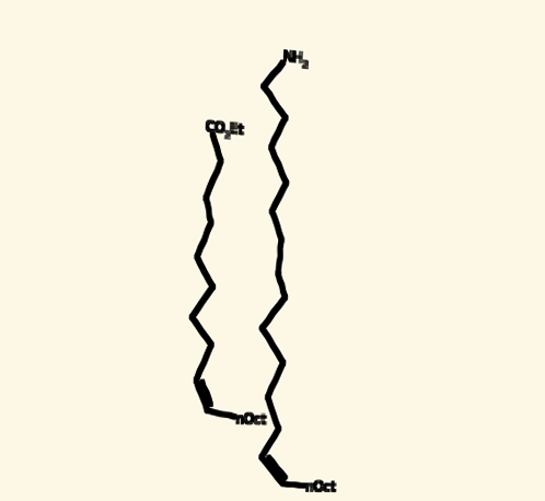 CCCCCCCC/C=C\CCCCCCCC(=O)OCC.CCCCCCCC/C=C\CCCCCCCCCCCCN